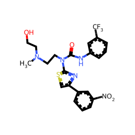 CN(CCO)CCN(C(=O)Nc1cccc(C(F)(F)F)c1)c1nc(-c2cccc([N+](=O)[O-])c2)cs1